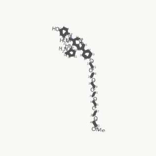 CCc1cc(O)ccc1/N=C(\N)c1cnn2cc(-c3ccc(OCCOCCOCCOCCOCCOCCOCCOC)cc3)cc2c1NC1CCCC1(C)N